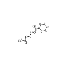 CCC(C)C(=O)OCCOC(=O)C1CCCCC1